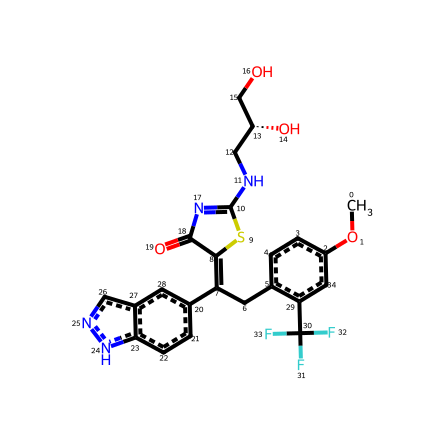 COc1ccc(CC(=C2SC(NC[C@@H](O)CO)=NC2=O)c2ccc3[nH]ncc3c2)c(C(F)(F)F)c1